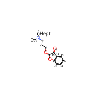 CCCCCCCN(CC)CCCOC1Oc2ccccc2C1=O